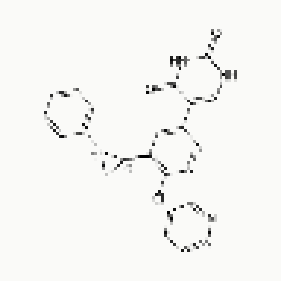 O=c1[nH]cc(-c2cc([C@H]3C[C@@H]3c3ccccc3)c(Cl)nn2)c(=O)[nH]1.c1ccnnc1